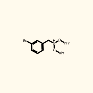 CCCO[SiH](Cc1cccc(Br)c1)OCCC